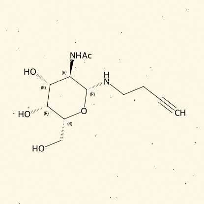 C#CCCN[C@@H]1O[C@H](CO)[C@H](O)[C@H](O)[C@H]1NC(C)=O